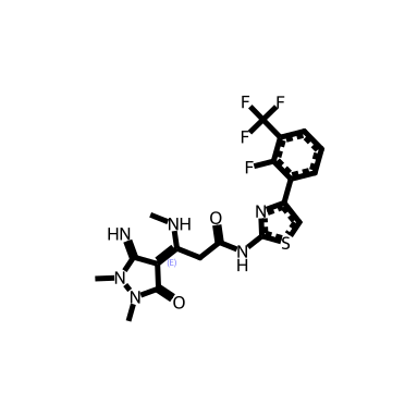 CN/C(CC(=O)Nc1nc(-c2cccc(C(F)(F)F)c2F)cs1)=C1\C(=N)N(C)N(C)C1=O